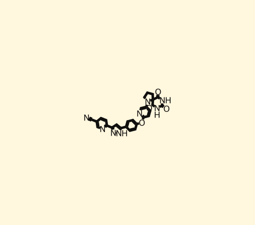 N#Cc1ccc(-c2cc(-c3ccc(Oc4ccc(N5CCCC56C(=O)NC(=O)NC6=O)cn4)cc3)[nH]n2)nc1